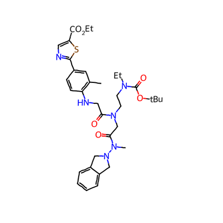 CCOC(=O)c1cnc(-c2ccc(NCC(=O)N(CCN(CC)C(=O)OC(C)(C)C)CC(=O)N(C)N3Cc4ccccc4C3)c(C)c2)s1